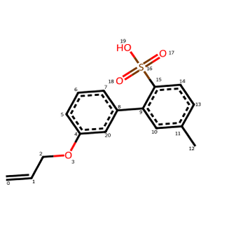 C=CCOc1cccc(-c2cc(C)ccc2S(=O)(=O)O)c1